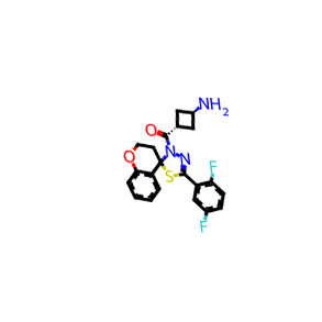 N[C@H]1C[C@H](C(=O)N2N=C(c3cc(F)ccc3F)SC23CCOc2ccccc23)C1